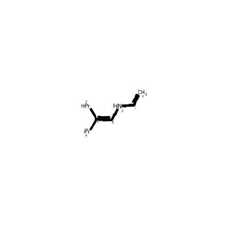 C=CN/C=C(\CCC)C(C)C